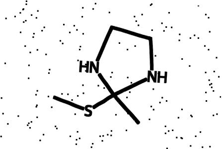 CSC1(C)NCCN1